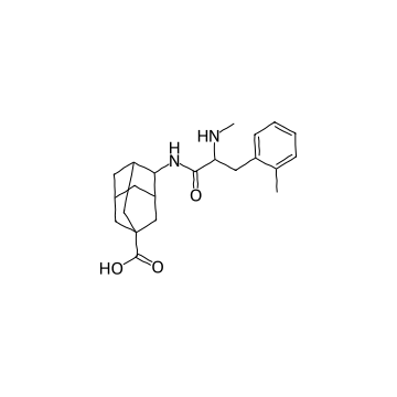 CNC(Cc1ccccc1C)C(=O)NC1C2CC3CC1CC(C(=O)O)(C3)C2